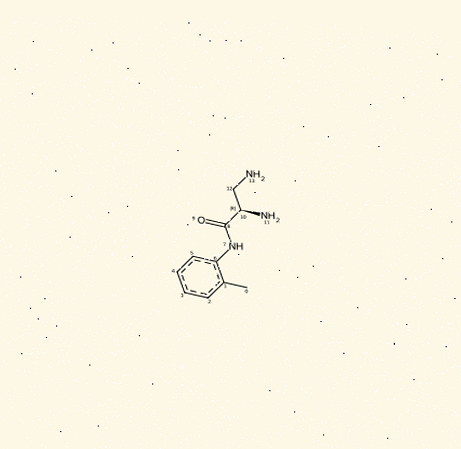 Cc1ccccc1NC(=O)[C@H](N)CN